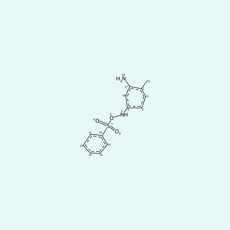 Cc1ccc(NOS(=O)(=O)c2ccccc2)cc1N